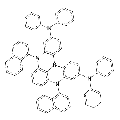 C1=CC(N(c2ccccc2)c2ccc3c(c2)N(c2cccc4ccccc24)c2cccc4c2B3c2ccc(N(c3ccccc3)c3ccccc3)cc2N4c2cccc3ccccc23)=CCC1